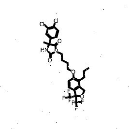 CCCc1c(OCCCCN2C(=O)NC(C)(c3ccc(Cl)c(Cl)c3)C2=O)ccc2c1COC2(C(F)(F)F)C(F)(F)F